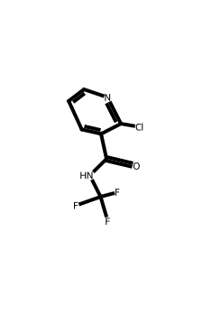 O=C(NC(F)(F)F)c1cccnc1Cl